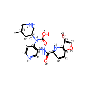 C[C@H]1CNC[C@@H](N(C(=O)O)c2ccncc2NC(=O)c2ccc3occ(Br)c3n2)C1